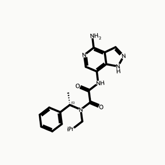 CC(C)CN(C(=O)C(=O)Nc1cnc(N)c2cn[nH]c12)[C@@H](C)c1ccccc1